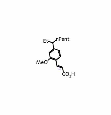 CCCCCC(CC)c1ccc(/C=C/C(=O)O)c(OC)c1